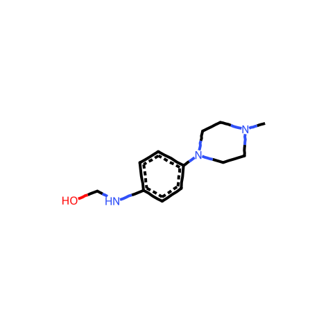 CN1CCN(c2ccc(NCO)cc2)CC1